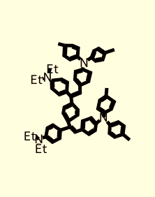 CCN(CC)c1ccc(C(=Cc2ccc(N(c3ccc(C)cc3)c3ccc(C)cc3)cc2)c2ccc(C(=Cc3ccc(N(c4ccc(C)cc4)c4ccc(C)cc4)cc3)c3ccc(N(CC)CC)cc3)cc2)cc1